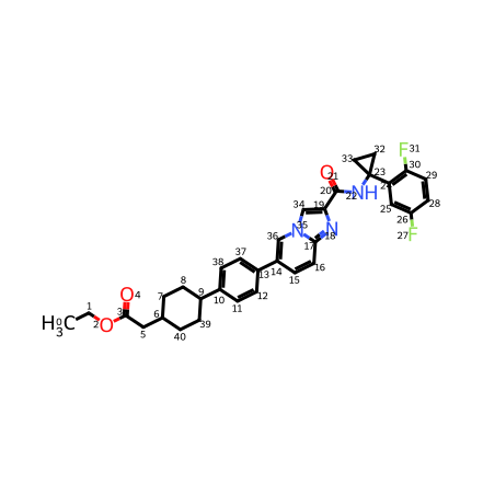 CCOC(=O)CC1CCC(c2ccc(-c3ccc4nc(C(=O)NC5(c6cc(F)ccc6F)CC5)cn4c3)cc2)CC1